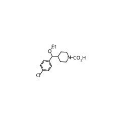 CCOC(c1ccc(Cl)cc1)C1CCN(C(=O)O)CC1